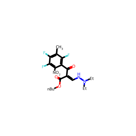 CCCCOC(=O)/C(=C/NN(CC)CC)C(=O)c1c(F)c(C)c(F)c(F)c1[N+](=O)[O-]